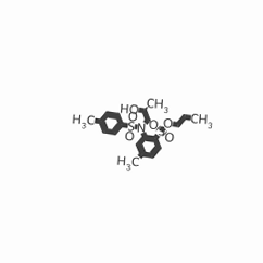 CCCOS(=O)(=O)c1ccc(C)cc1N(C[C@@H](C)O)S(=O)(=O)c1ccc(C)cc1